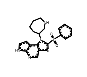 O=S(=O)(c1ccccc1)c1nc2cnc3[nH]ccc3c2n1C1CCCCNC1